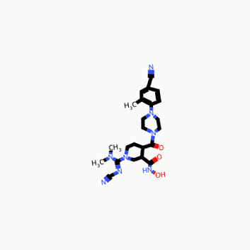 Cc1cc(C#N)ccc1N1CCN(C(=O)C2CCN(C(=NC#N)N(C)C)CC2C(=O)NO)CC1